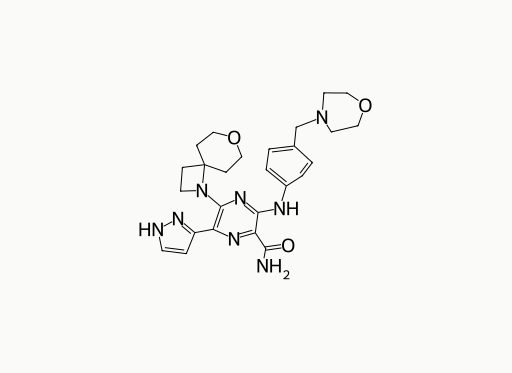 NC(=O)c1nc(-c2cc[nH]n2)c(N2CCC23CCOCC3)nc1Nc1ccc(CN2CCOCC2)cc1